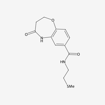 CSCCNC(=O)c1ccc2c(c1)NC(=O)CCO2